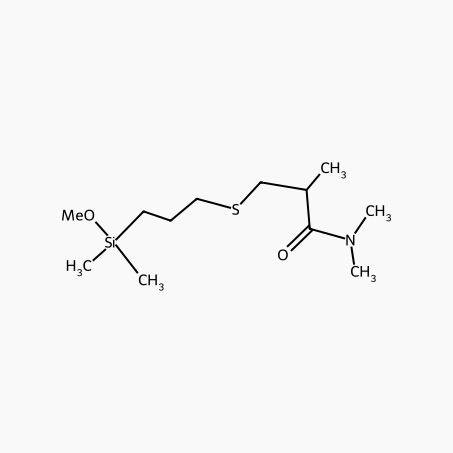 CO[Si](C)(C)CCCSCC(C)C(=O)N(C)C